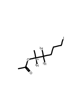 [2H]C([2H])(CCCI)[C@@]([2H])(C)OC(C)=O